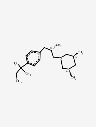 CCC(C)(C)c1ccc(C[C@H](C)CN2C[C@H](C)C[C@H](C)C2)cc1